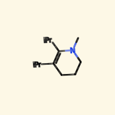 CC(C)C1=C(C(C)C)N(C)CCC1